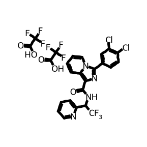 O=C(NC(c1ccccn1)C(F)(F)F)c1nc(-c2ccc(Cl)c(Cl)c2)n2ccccc12.O=C(O)C(F)(F)F.O=C(O)C(F)(F)F